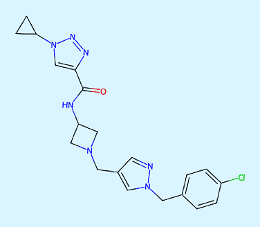 O=C(NC1CN(Cc2cnn(Cc3ccc(Cl)cc3)c2)C1)c1cn(C2CC2)nn1